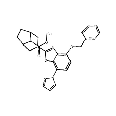 CC(C)(C)OC(=O)N1C2CCC1CN(c1nc3c(OCc4ccccc4)ccc(-n4cccn4)c3o1)C2